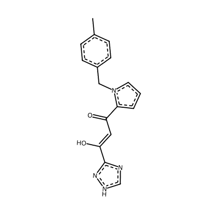 Cc1ccc(Cn2cccc2C(=O)C=C(O)c2nc[nH]n2)cc1